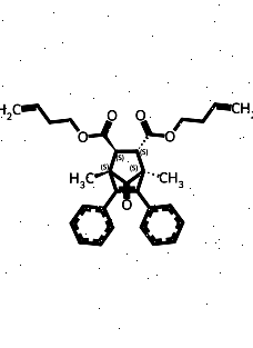 C=CCCOC(=O)[C@H]1[C@H](C(=O)OCCC=C)[C@]2(C)C(=O)[C@]1(C)C(c1ccccc1)=C2c1ccccc1